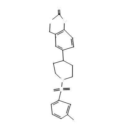 Cc1cccc(S(=O)(=O)N2CCC(c3ccc4c(c3)COC(=O)N4)CC2)c1